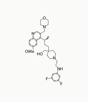 COc1ccc2ncc(CN3CCOCC3)c([C@@H](F)CCC3(CO)CCN(CCNc4cc(F)cc(F)c4)CC3)c2c1